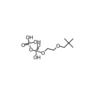 CC(C)(C)COCCOP(=O)(O)OP(=O)(O)O